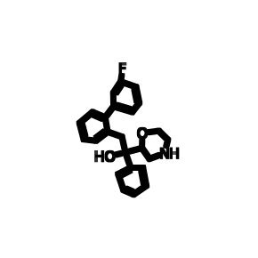 OC(Cc1ccccc1-c1cccc(F)c1)(c1ccccc1)C1CNCCO1